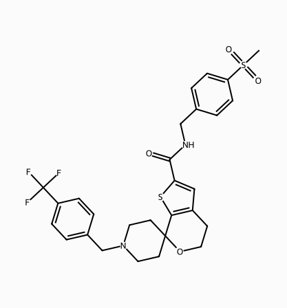 CS(=O)(=O)c1ccc(CNC(=O)c2cc3c(s2)C2(CCN(Cc4ccc(C(F)(F)F)cc4)CC2)OCC3)cc1